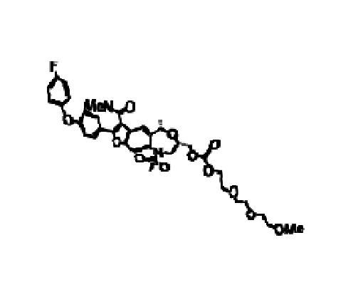 CNC(=O)c1c(-c2ccc(Oc3ccc(F)cc3)cc2)oc2cc3c(cc12)[C@H](C)O[C@H](COC(=O)OCCOCCOCCOC)CN3S(C)(=O)=O